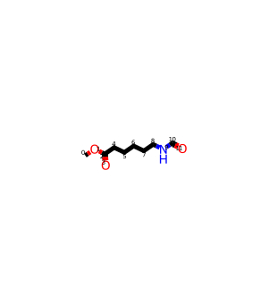 COC(=O)CCCCCN[C]=O